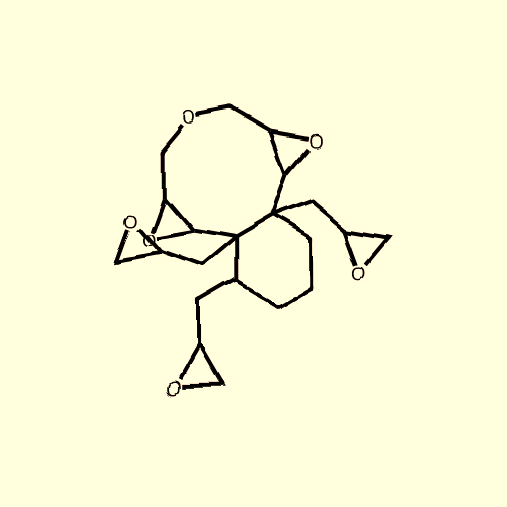 C1CC(CC2CO2)C2(CC3CO3)C3OC3COCC3OC3C2(CC2CO2)C1